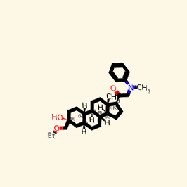 CCOC[C@@]1(O)CC[C@H]2[C@H](CC[C@@H]3[C@@H]2CC[C@]2(C)[C@@H](C(=O)CN(C)c4ccccc4)CC[C@@H]32)C1